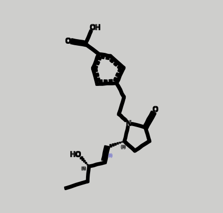 CC[C@H](O)/C=C/[C@H]1CCC(=O)N1CCc1ccc(C(=O)O)cc1